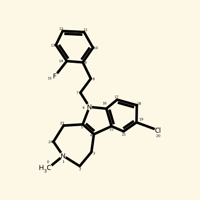 CN1CCc2c(n(CCc3ccccc3F)c3ccc(Cl)cc23)CC1